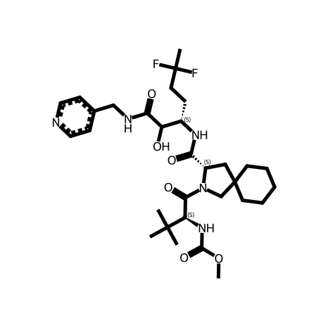 COC(=O)N[C@H](C(=O)N1CC2(CCCCC2)C[C@H]1C(=O)N[C@@H](CCC(C)(F)F)C(O)C(=O)NCc1ccncc1)C(C)(C)C